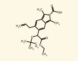 C=CCc1cc2c(C)n(C(=O)O)c(C)c2cc1C(OC(C)(C)C)C(=O)OCC